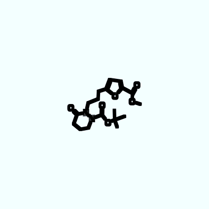 COC(=O)c1ccc(CCCN2C(=O)CCCN2C(=O)OC(C)(C)C)o1